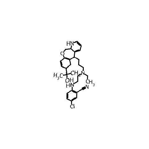 CCN(CCCC1C2=CC=CNC2COC2=C1CC(C(C)(C)O)C=C2)CCNc1ccc(Cl)cc1C#N